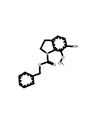 COc1c(O)ccc2c1N(C(=O)OCc1ccccc1)CC2